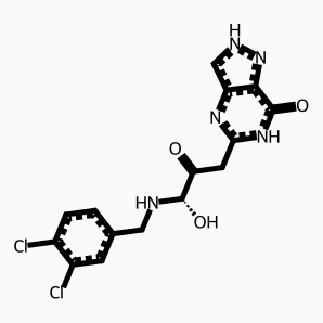 O=C(Cc1nc2c[nH]nc2c(=O)[nH]1)[C@H](O)NCc1ccc(Cl)c(Cl)c1